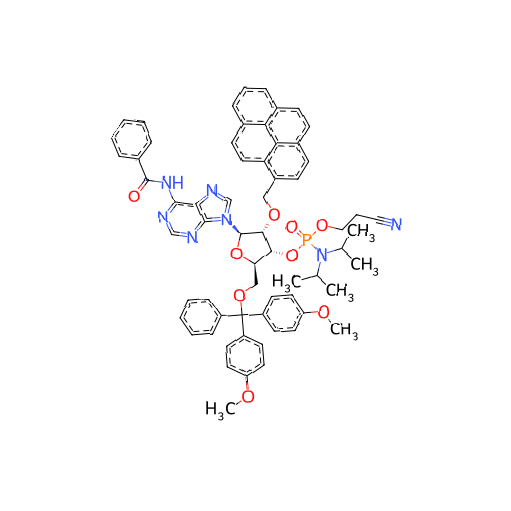 COc1ccc(C(OC[C@H]2O[C@@H](n3cnc4c(NC(=O)c5ccccc5)ncnc43)[C@H](OCc3ccc4ccc5cccc6ccc3c4c56)[C@@H]2OP(=O)(OCCC#N)N(C(C)C)C(C)C)(c2ccccc2)c2ccc(OC)cc2)cc1